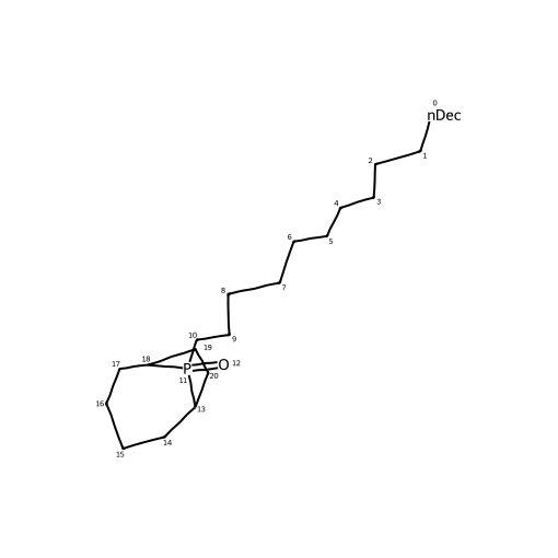 CCCCCCCCCCCCCCCCCCCCP1(=O)C2CCCCC1CC2